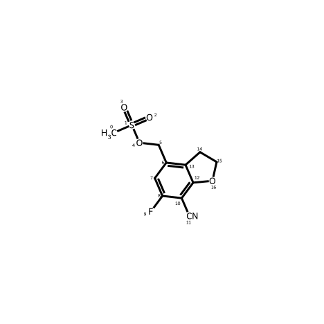 CS(=O)(=O)OCc1cc(F)c(C#N)c2c1CCO2